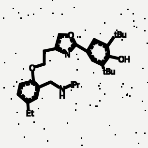 CCc1ccc(OCCc2coc(-c3cc(C(C)(C)C)c(O)c(C(C)(C)C)c3)n2)c(CNC(C)C)c1